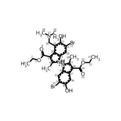 CCOC(=O)c1c(C)[nH]c2cc(Br)c(O)c(CN(C)C)c12.CCOC(=O)c1c(C)[nH]c2cc(Br)c(O)cc12